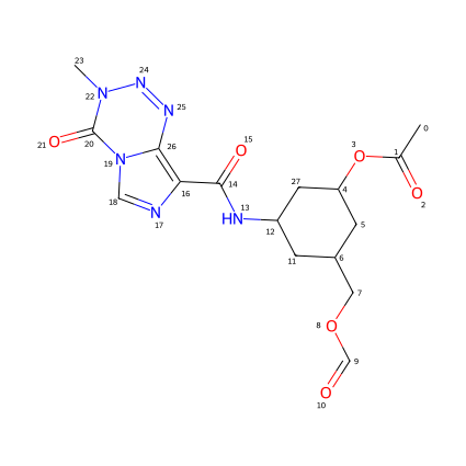 CC(=O)OC1CC(COC=O)CC(NC(=O)c2ncn3c(=O)n(C)nnc23)C1